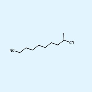 CC(C#N)CCCCCCCC#N